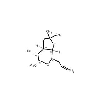 C=CC[C@H]1O[C@H](OC)[C@H](C(C)C)[C@H]2OC(C)(C)O[C@H]21